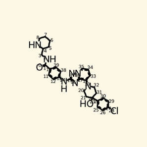 O=C(NCC1CCCCN1)c1ccc(Nc2nc3c(N4CCC(O)(c5ccc(Cl)cc5)CC4)cccn3n2)cc1